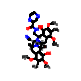 COc1c(C)c(OC)c2c(c1O)[C@H]1[C@@H]3Cc4c(OC)c(C)c(OC)c(O)c4[C@H](CNC(=O)c4cnccn4)N3[C@@H](C#N)[C@@H](C2)N1C